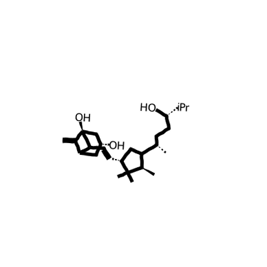 C=C1C2C[C@@H](O)C[C@]1(O)C2/C=C/[C@@H]1CC([C@@H](C)CC[C@H](O)C(C)C)[C@@H](C)C1(C)C